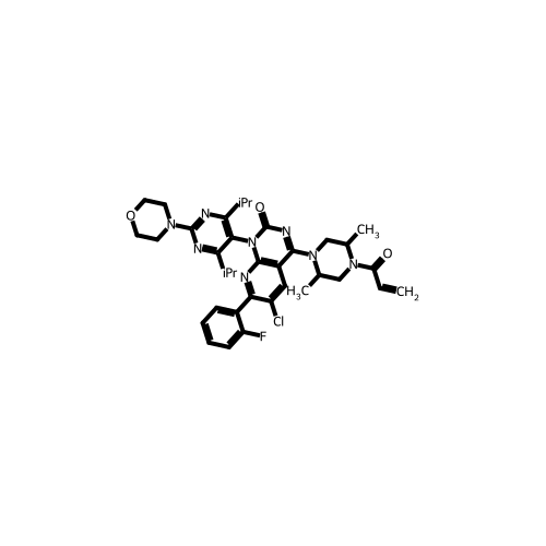 C=CC(=O)N1CC(C)N(c2nc(=O)n(-c3c(C(C)C)nc(N4CCOCC4)nc3C(C)C)c3nc(-c4ccccc4F)c(Cl)cc23)CC1C